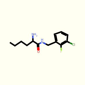 CCCCC(N)C(=O)NCc1cccc(Cl)c1F